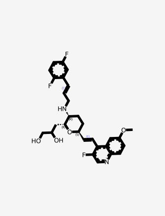 COc1ccc2ncc(F)c(/C=C/[C@@H]3CC[C@@H](NC/C=C/c4cc(F)ccc4F)[C@@H](CC(O)CO)O3)c2c1